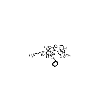 NCCC[S+]([O-])C[C@H](NC(=O)OCc1ccccc1)C(=O)N[C@H](CCC(=O)N1[C@H](C(=O)O)C[C@@H]2CCCC[C@@H]21)C(=O)O